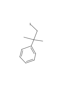 CC(C)(CI)c1ccccc1